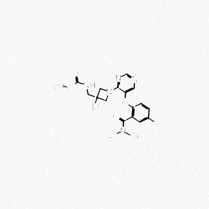 CCN(C(=O)c1cc(F)ccc1Oc1cncnc1N1CC(CC)(CNC(=O)OC(C)(C)C)C1)C(C)C